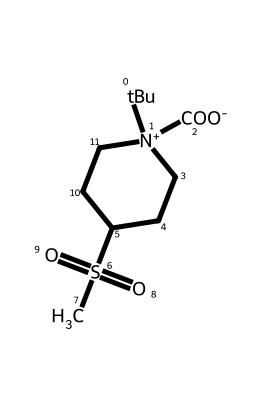 CC(C)(C)[N+]1(C(=O)[O-])CCC(S(C)(=O)=O)CC1